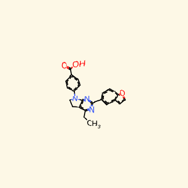 CCc1nc(-c2ccc3occc3c2)nc2c1CCN2c1ccc(C(=O)O)cc1